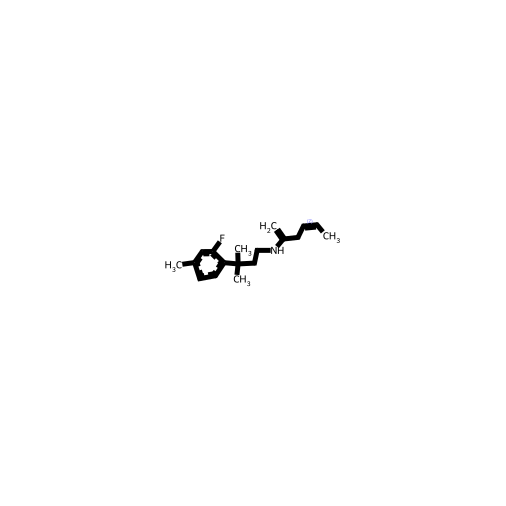 C=C(C/C=C\C)NCCC(C)(C)c1ccc(C)cc1F